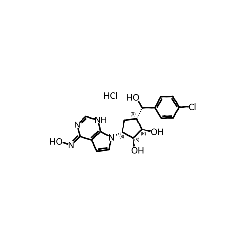 Cl.ON=c1nc[nH]c2c1ccn2[C@@H]1C[C@H](C(O)c2ccc(Cl)cc2)[C@@H](O)[C@H]1O